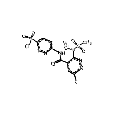 CN(c1nnc(Cl)cc1C(=O)Nc1ccc(S(=O)(=O)Cl)nn1)S(C)(=O)=O